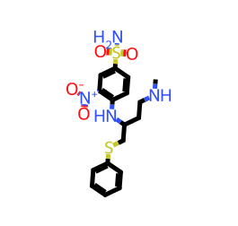 CNCCC(CSc1ccccc1)Nc1ccc(S(N)(=O)=O)cc1[N+](=O)[O-]